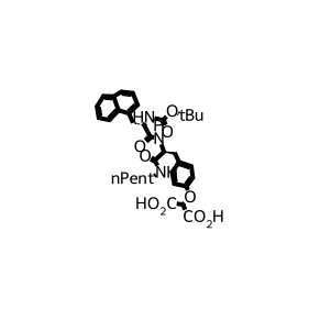 CCCCCNC(=O)[C@H](Cc1ccc(OC(C(=O)O)C(=O)O)cc1)NC(=O)[C@H](Cc1cccc2ccccc12)NC(=O)OC(C)(C)C